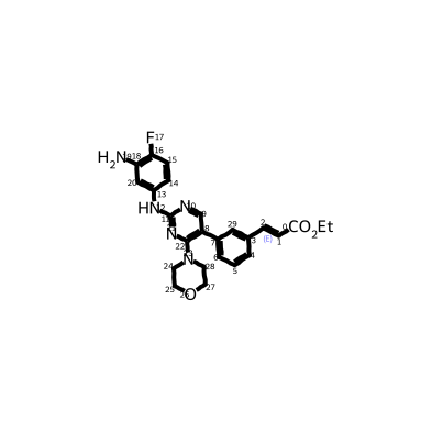 CCOC(=O)/C=C/c1cccc(-c2cnc(Nc3ccc(F)c(N)c3)nc2N2CCOCC2)c1